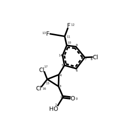 O=C(O)C1C(c2cc(Cl)cc(C(F)F)c2)C1(Cl)Cl